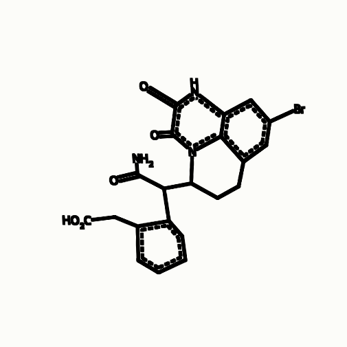 NC(=O)C(c1ccccc1CC(=O)O)C1CCc2cc(Br)cc3[nH]c(=O)c(=O)n1c23